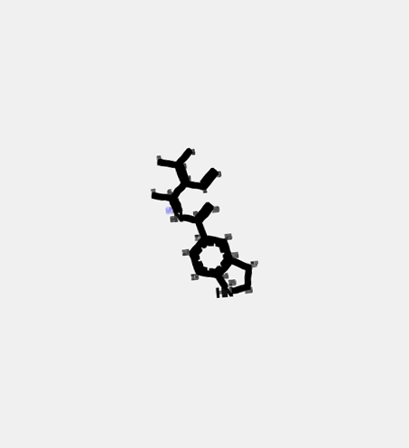 C=CC(=C(C)C)/C(C)=N\C(=C)c1ccc2c(c1)CCN2